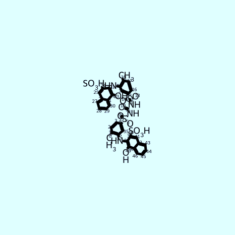 Cc1ccc(S(=O)(=O)NC(=O)NS(=O)(=O)c2ccc(C)c(Nc3c(S(=O)(=O)O)cc4ccccc4c3O)c2)cc1Nc1c(S(=O)(=O)O)cc2ccccc2c1O